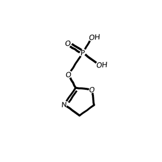 O=P(O)(O)OC1=NCCO1